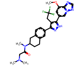 COc1cc(-c2[nH]nc(-c3ccc4c(c3)CCC(N(C)C(=O)CN(C)C)C4)c2CC(F)(F)F)cn2ncnc12